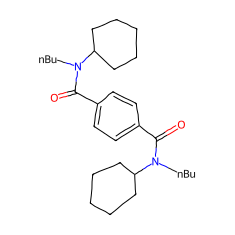 CCCCN(C(=O)c1ccc(C(=O)N(CCCC)C2CCCCC2)cc1)C1CCCCC1